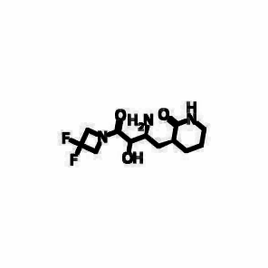 N[C@@H](C[C@@H]1CCCNC1=O)C(O)C(=O)N1CC(F)(F)C1